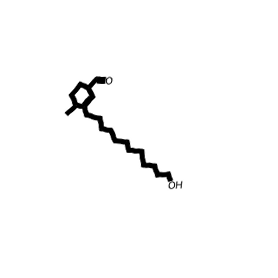 CC1CCC(C=O)C=C1CCCCCCCCCCCCO